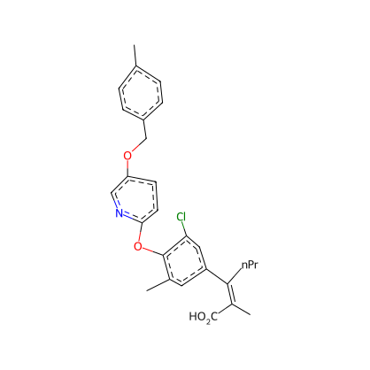 CCC/C(=C(\C)C(=O)O)c1cc(C)c(Oc2ccc(OCc3ccc(C)cc3)cn2)c(Cl)c1